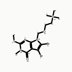 CSc1nc2c(c(Br)c(Br)n2COCC[Si](C)(C)C)c(=O)n1C